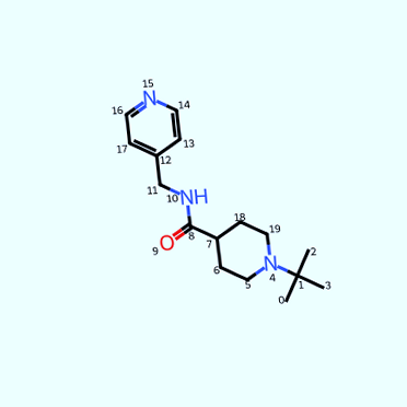 CC(C)(C)N1CCC(C(=O)NCc2ccncc2)CC1